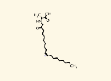 CCCCCCCC/C=C\CCCCCCCC(=O)CNC(C)C(=O)O